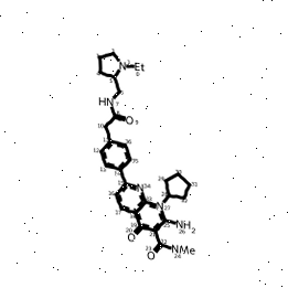 CCN1CCCC1CNC(=O)Cc1ccc(-c2ccc3c(=O)c(C(=O)NC)c(N)n(C4CCCC4)c3n2)cc1